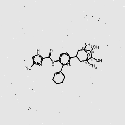 C[C@]12CC(c3ccc(NC(=O)c4nc(C#N)c[nH]4)c(C4=CCCCC4)n3)C[C@](C)(O1)[C@H](O)[C@@H]2O